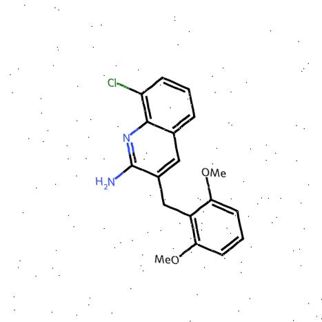 COc1cccc(OC)c1Cc1cc2cccc(Cl)c2nc1N